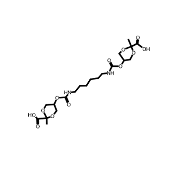 CC1(C(=O)O)OCC(OC(=O)NCCCCCCNC(=O)OC2COC(C)(C(=O)O)OC2)CO1